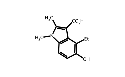 CCc1c(O)ccc2c1c(C(=O)O)c(C)n2C